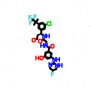 CC(C)(c1cc(Cl)cc([C@H](CC=O)NC(=O)CNC(=O)c2cc(O)cc(NC3=NCC(F)CN3)c2)c1)C(F)(F)F